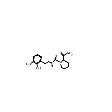 NC(=O)C1CCCCN1C(=O)NCCc1cccc(O)c1O